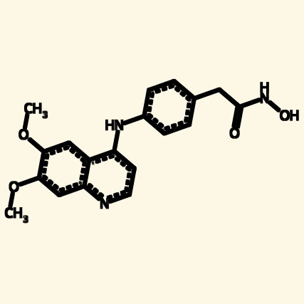 COc1cc2nccc(Nc3ccc(CC(=O)NO)cc3)c2cc1OC